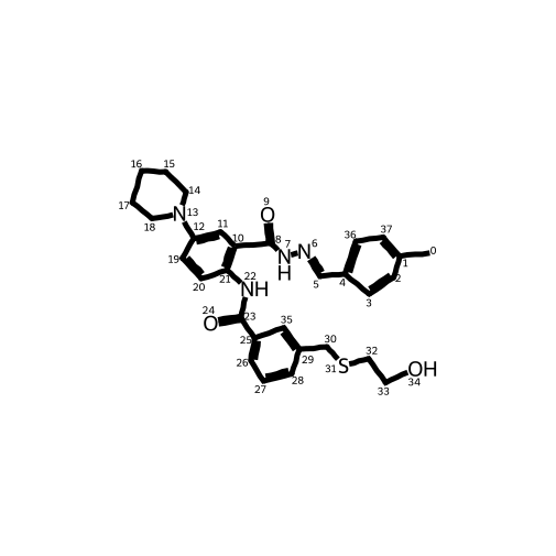 Cc1ccc(C=NNC(=O)c2cc(N3CCCCC3)ccc2NC(=O)c2cccc(CSCCO)c2)cc1